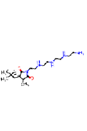 CC1C(=O)N(CCNCCNCCNCCN)C(=O)C1CC(C)(C)C